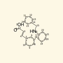 O=C(O)C=Cc1ccccc1.c1ccc(CNc2ccccc2)cc1